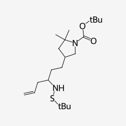 C=CCC(CCC1CN(C(=O)OC(C)(C)C)C(C)(C)C1)NSC(C)(C)C